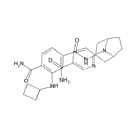 NC(=O)c1ccc(N2C3CCC2CC(NC(=O)c2ccc(C(N)=O)c(NC4CCC4)c2)C3)nc1